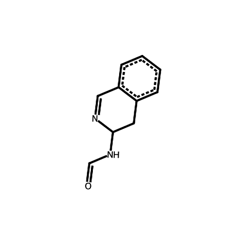 O=CNC1Cc2ccccc2C=N1